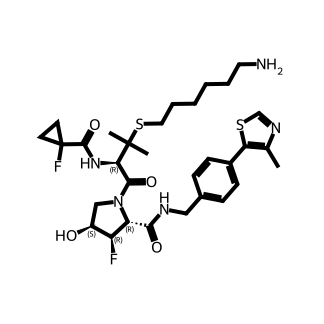 Cc1ncsc1-c1ccc(CNC(=O)[C@@H]2[C@@H](F)[C@@H](O)CN2C(=O)[C@@H](NC(=O)C2(F)CC2)C(C)(C)SCCCCCCN)cc1